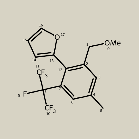 COCc1[c]c(C)cc(C(F)(C(F)(F)F)C(F)(F)F)c1-c1ccco1